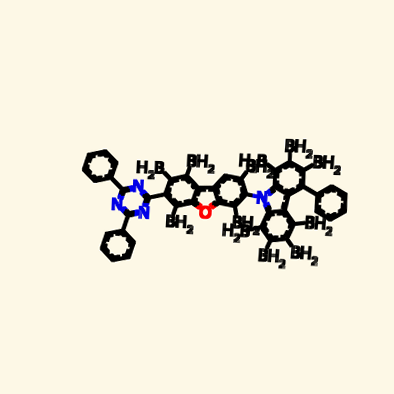 Bc1cc2c(oc3c(B)c(-c4nc(-c5ccccc5)nc(-c5ccccc5)n4)c(B)c(B)c32)c(B)c1-n1c2c(B)c(B)c(B)c(B)c2c2c(-c3ccccc3)c(B)c(B)c(B)c21